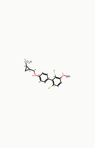 CC(C)Oc1ccc(F)c(-c2ccc(OCC3CC3C(=O)O)cc2)c1F